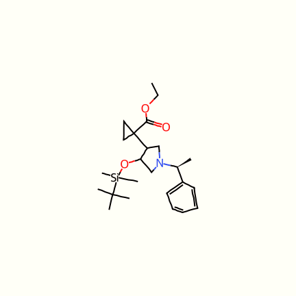 CCOC(=O)C1(C2CN([C@@H](C)c3ccccc3)CC2O[Si](C)(C)C(C)(C)C)CC1